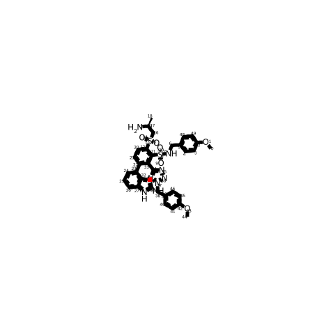 COc1ccc(CNS(=O)(=O)c2c(S(=O)(=O)C[C@H](C)N)ccc(-c3cccc4[nH]c(N)nc34)c2-c2nnn(Cc3ccc(OC)cc3)n2)cc1